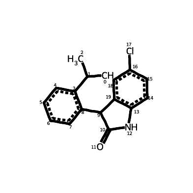 CC(C)c1ccccc1C1C(=O)Nc2ccc(Cl)cc21